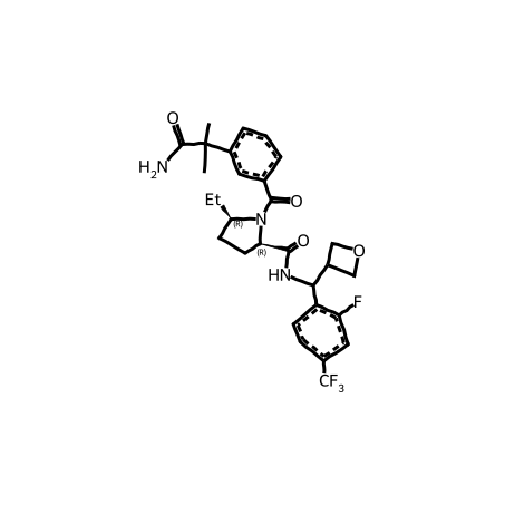 CC[C@@H]1CC[C@H](C(=O)NC(c2ccc(C(F)(F)F)cc2F)C2COC2)N1C(=O)c1cccc(C(C)(C)C(N)=O)c1